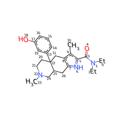 CCN(CC)C(=O)c1[nH]c2c(c1C)CC1(c3cccc(O)c3)CCN(C)CC1C2